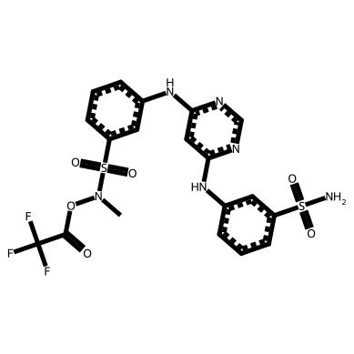 CN(OC(=O)C(F)(F)F)S(=O)(=O)c1cccc(Nc2cc(Nc3cccc(S(N)(=O)=O)c3)ncn2)c1